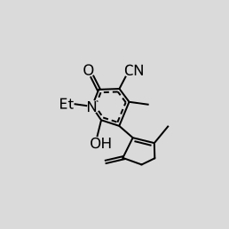 C=C1CCC(C)=C1c1c(C)c(C#N)c(=O)n(CC)c1O